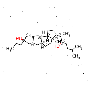 CCC[C@](C)(O)C[C@@H]1CC[C@@H]2[C@H](CC[C@]3(C)[C@@H]([C@H](C)[C@@H](O)CCC(C)C)CC[C@@H]23)C1